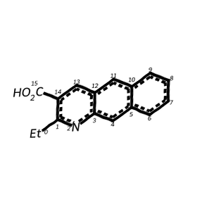 CCc1nc2cc3ccccc3cc2cc1C(=O)O